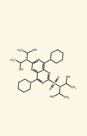 CC(O)N(c1nc(N2CCCCC2)c2nc(S(=O)(=O)N(C(C)O)C(C)O)nc(N3CCCCC3)c2n1)C(C)O